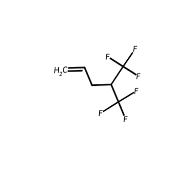 C=CCC(C(F)(F)F)C(F)(F)F